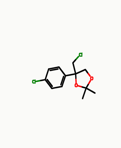 CC1(C)OCC(CCl)(c2ccc(Cl)cc2)O1